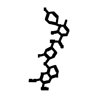 COc1cc2nccc(Oc3ccc(NC(=O)c4ccc(C)n(-c5ccc(F)cc5)c4=O)cc3F)c2nc1OC